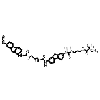 C=C(C)C(=O)OCCCNC(=S)Nc1ccc2c(c1)Cc1cc(NC(=S)NCCCOC(=O)Nc3ccc4c(c3)Cc3cc(N=C=O)ccc3-4)ccc1-2